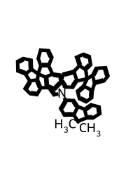 CC1(C)c2ccccc2-c2cc(N(C=Cc3cccc4c3C3(C5=C(C=CCC5)c5ccccc53)c3ccccc3-4)c3ccc4c(c3)C3(c5ccccc5-c5ccccc53)c3ccccc3-4)ccc21